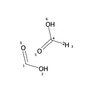 O=CO.[2H]C(=O)O